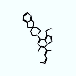 C/C=C\C=C(/C)c1c(C)nc(N2CCC3(CC2)Cc2cccnc2C3)c2c(CO)cnn12